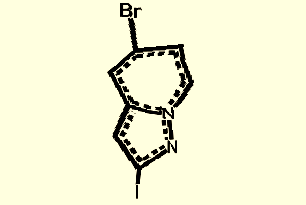 Brc1ccn2nc(I)cc2c1